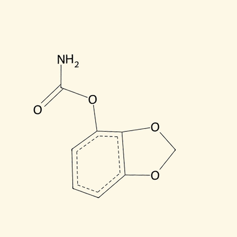 NC(=O)Oc1cccc2c1OCO2